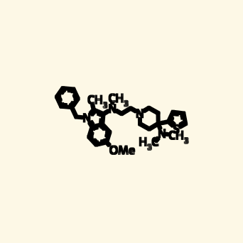 COc1ccc2c(c1)c(N(C)CCN1CCC(c3cccs3)(N(C)C)CC1)c(C)n2Cc1ccccc1